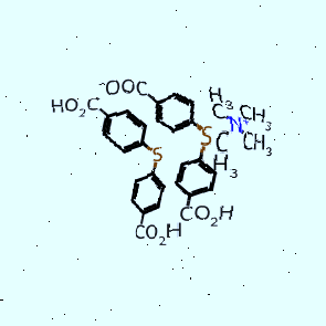 C[N+](C)(C)C.O=C(O)c1ccc(Sc2ccc(C(=O)O)cc2)cc1.O=C([O-])c1ccc(Sc2ccc(C(=O)O)cc2)cc1